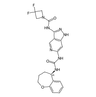 O=C(Nc1cc2[nH]nc(NC(=O)N3CC(F)(F)C3)c2cn1)N[C@@H]1CCCOc2ccccc21